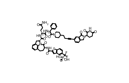 NC(=O)CC[C@H](NC(=O)[C@@H]1Cc2cccc3c2N1C(=O)[C@@H](NC(=O)c1cc2cc(C(F)(F)P(=O)(O)O)ccc2s1)CC3)C(=O)N[C@H](C(=O)N1CCC(CCC#Cc2ccc3c(c2)C(=O)N(C2CCC(=O)NC2=O)C3)CC1)c1ccccc1